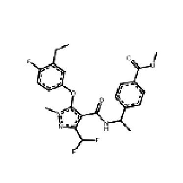 CCc1cc(Oc2c(C(=O)NC(C)c3ccc(C(=O)OC)cc3)c(C(F)F)nn2C)ccc1F